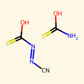 N#CN=NC(O)=S.NC(O)=S